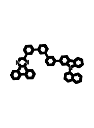 c1cc(-c2cccc(-c3ccc4c5ccccc5n(-c5cccc6ccccc56)c4c3)c2)cc(-c2cccc(-c3cnc4c5ccccc5c5ccccc5c4n3)c2)c1